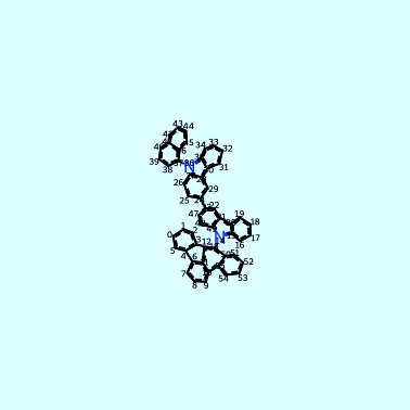 c1ccc2c(c1)-c1cccc3c1c-2c(-n1c2ccccc2c2cc(-c4ccc5c(c4)c4ccccc4n5-c4cccc5ccccc45)ccc21)c1ccccc13